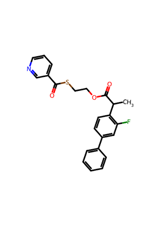 CC(C(=O)OCCSC(=O)c1cccnc1)c1ccc(-c2ccccc2)cc1F